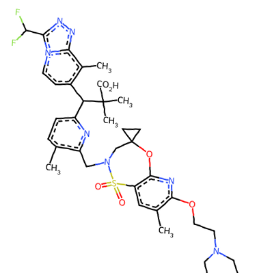 Cc1ccc(C(c2ccn3c(C(F)F)nnc3c2C)C(C)(C)C(=O)O)nc1CN1CC2(CC2)Oc2nc(OCCN3CCCCC3)c(C)cc2S1(=O)=O